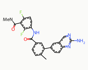 CNC(=O)c1c(F)ccc(NC(=O)c2ccc(C)c(-c3ccc4nc(N)ncc4c3)c2)c1F